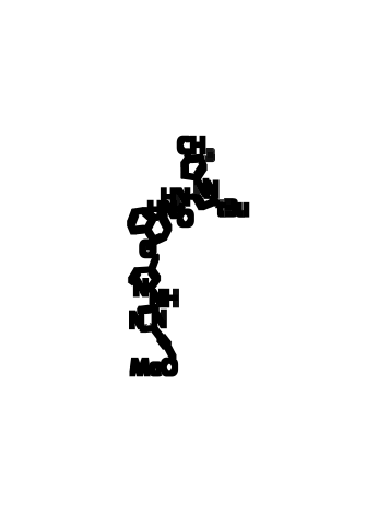 COCC#Cc1cncc(Nc2cc(COc3ccc(NC(=O)Nc4cc(C(C)(C)C)nn4-c4ccc(C)cc4)c4ccccc34)ccn2)n1